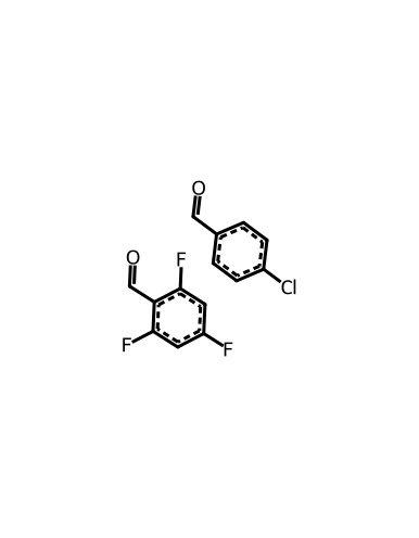 O=Cc1c(F)cc(F)cc1F.O=Cc1ccc(Cl)cc1